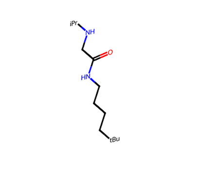 CC(C)NCC(=O)NCCCCC(C)(C)C